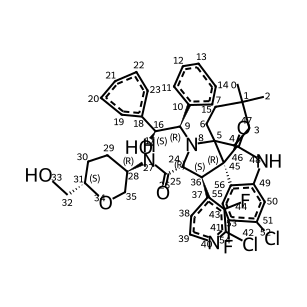 CC1(C)CCC2(CC1)N([C@H](c1ccccc1)[C@@H](O)c1ccccc1)[C@@H](C(=O)N[C@@H]1CC[C@@H](CO)OC1)[C@H](c1ccnc(Cl)c1F)[C@]21C(=O)Nc2cc(Cl)c(F)cc21